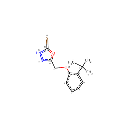 CC(C)(C)c1ccccc1OCc1n[nH]c(=S)o1